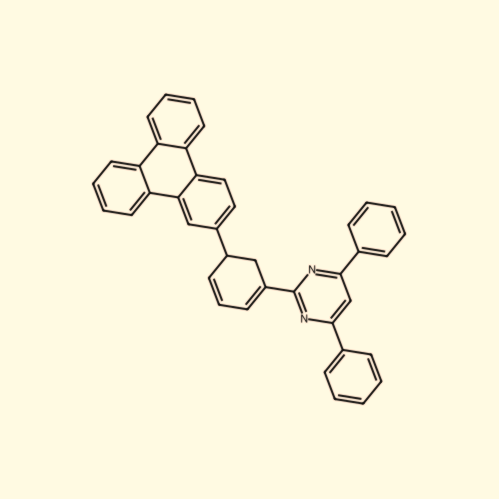 C1=CC(c2ccc3c4ccccc4c4ccccc4c3c2)CC(c2nc(-c3ccccc3)cc(-c3ccccc3)n2)=C1